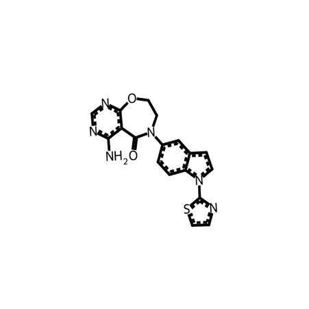 Nc1ncnc2c1C(=O)N(c1ccc3c(ccn3-c3nccs3)c1)CCO2